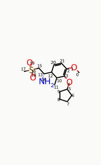 COC1=C(OC2CCCC2)C(C)C([C@H](N)CS(C)(=O)=O)C=C1